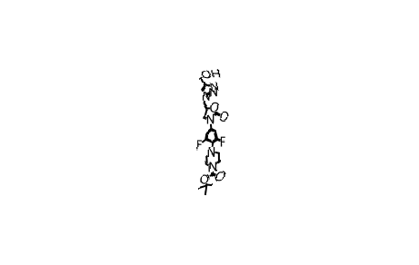 CC(C)(C)OC(=O)N1CCN(c2c(F)cc(N3CC(Cn4cc(CO)nn4)OC3=O)cc2F)CC1